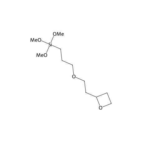 CO[Si](CCCOCCC1CCO1)(OC)OC